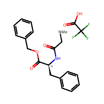 CNCC(=O)N[C@@H](Cc1ccccc1)C(=O)OCc1ccccc1.O=C(O)C(F)(F)F